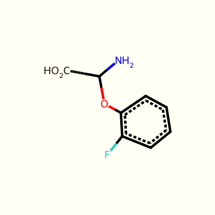 NC(Oc1ccccc1F)C(=O)O